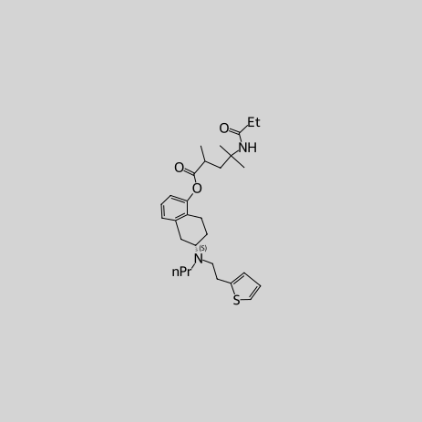 CCCN(CCc1cccs1)[C@H]1CCc2c(cccc2OC(=O)C(C)CC(C)(C)NC(=O)CC)C1